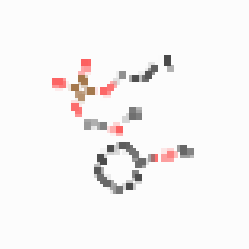 C=CCOS(=O)(=O)[O-].CCOCC.Oc1ccccc1.[Na+]